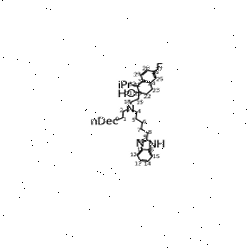 CCCCCCCCCCCCN(CCCCCc1nc2ccccc2[nH]1)CC[C@@]1(O)CCc2cc(F)ccc2[C@@H]1C(C)C